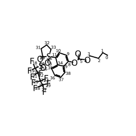 CCCCOC(=O)Oc1ccc(S2(OS(=O)(=O)C(F)(F)C(F)(F)C(F)(F)C(F)(F)F)CCCC2)c2ccccc12